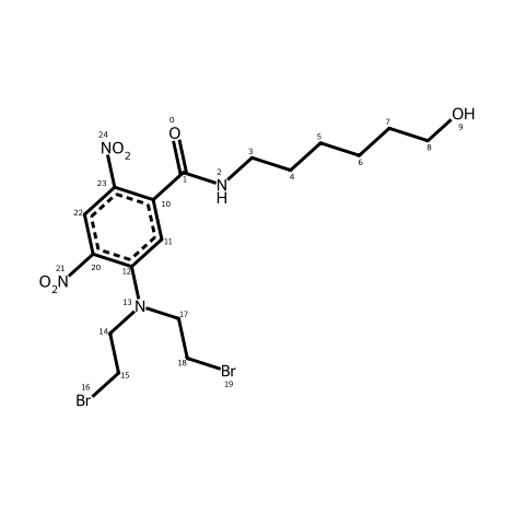 O=C(NCCCCCCO)c1cc(N(CCBr)CCBr)c([N+](=O)[O-])cc1[N+](=O)[O-]